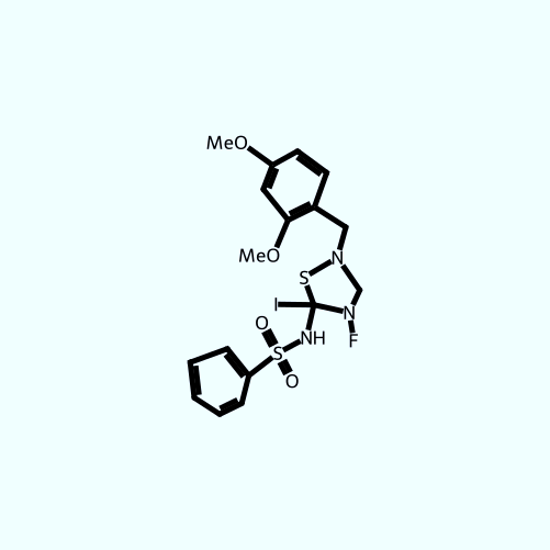 COc1ccc(CN2CN(F)C(I)(NS(=O)(=O)c3ccccc3)S2)c(OC)c1